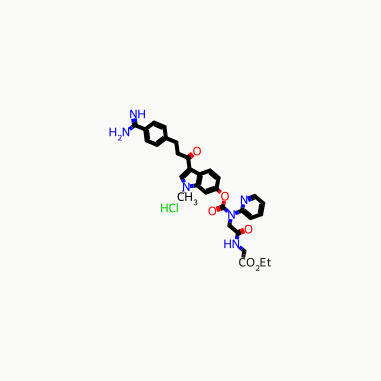 CCOC(=O)CNC(=O)CN(C(=O)Oc1ccc2c(C(=O)CCc3ccc(C(=N)N)cc3)cn(C)c2c1)c1ccccn1.Cl